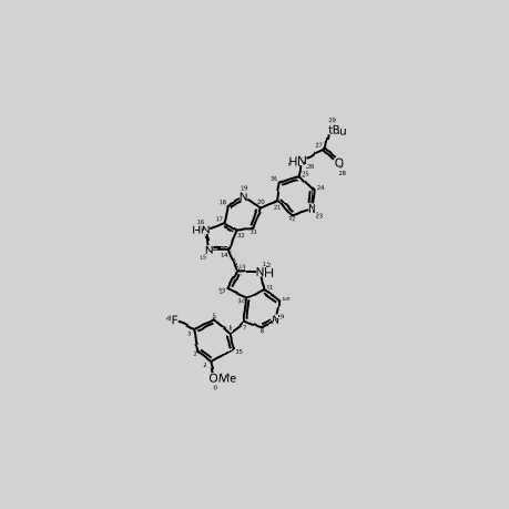 COc1cc(F)cc(-c2cncc3[nH]c(-c4n[nH]c5cnc(-c6cncc(NC(=O)C(C)(C)C)c6)cc45)cc23)c1